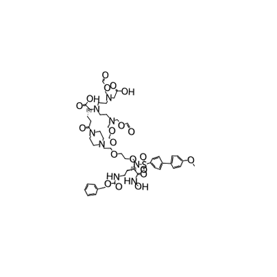 COc1ccc(-c2ccc(S(=O)(=O)N(OCCOCCN3CCN(C(=O)CC[C@H](C(=O)O)N(CCN(COC=O)COC=O)CCN(COC=O)CC(=O)O)CC3)[C@H](CCNC(=O)OCc3ccccc3)C(=O)NO)cc2)cc1